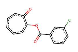 O=C(Oc1cccccc1=O)c1cccc(Cl)c1